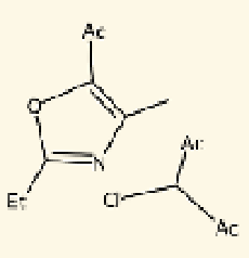 CC(=O)C(Cl)C(C)=O.CCc1nc(C)c(C(C)=O)o1